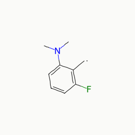 [CH2]c1c(F)cccc1N(C)C